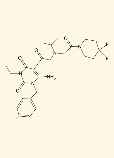 CCn1c(=O)c(C(=O)CN(CC(=O)N2CCC(F)(F)CC2)C(C)C)c(N)n(Cc2ccc(C)cc2)c1=O